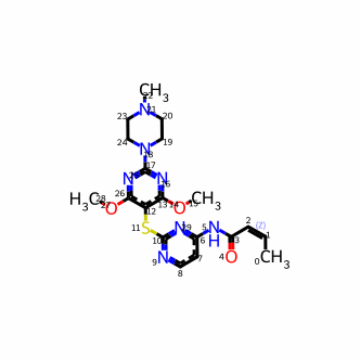 C/C=C\C(=O)Nc1ccnc(Sc2c(OC)nc(N3CCN(C)CC3)nc2OC)n1